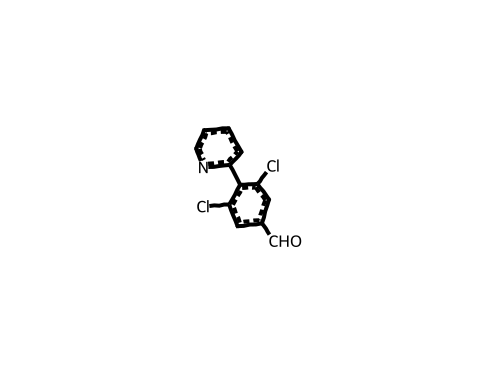 O=Cc1cc(Cl)c(-c2ccccn2)c(Cl)c1